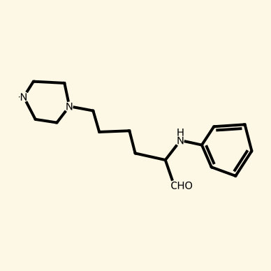 O=CC(CCCCN1CC[N]CC1)Nc1ccccc1